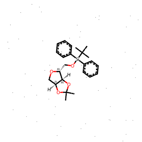 CC1(C)O[C@H]2[C@H](CO[C@@H]2CO[Si](c2ccccc2)(c2ccccc2)C(C)(C)C)O1